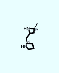 C[C@H]1CC(C[C@H]2CCCN2)N1